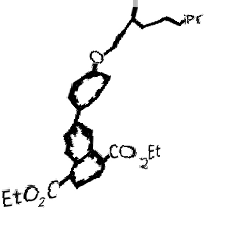 CCOC(=O)c1ccc(C(=O)OCC)c2cc(-c3ccc(OCCC(C)CCCC(C)C)cc3)ccc12